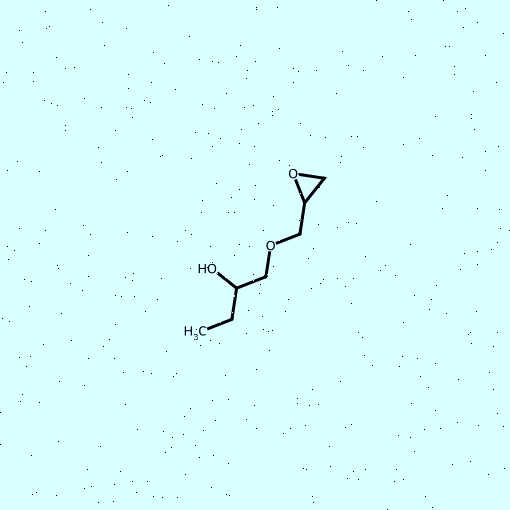 CCC(O)COCC1CO1